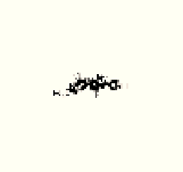 Cc1cn2cc(-c3cc(F)c4cc(C5CCNCC5)nnc4c3)cc(C)c2n1